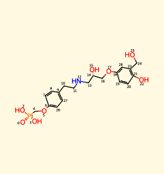 O=P(O)(O)COc1ccc(CCNC[C@H](O)COc2ccc(O)c(CO)c2)cc1